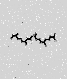 [CH2]CC(C)CCCC(C)CCCC(C)CCCC(C)CCCC(C)C